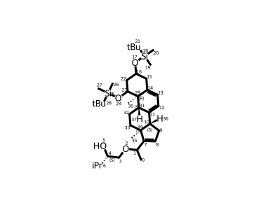 CC(OC[C@@H](O)C(C)C)C1=CC[C@H]2C3=CC=C4CC(O[Si](C)(C)C(C)(C)C)CC(O[Si](C)(C)C(C)(C)C)[C@]4(C)[C@H]3CC[C@]12C